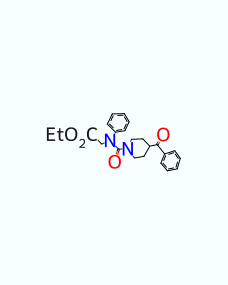 CCOC(=O)CN(C(=O)N1CCC(C(=O)c2ccccc2)CC1)c1ccccc1